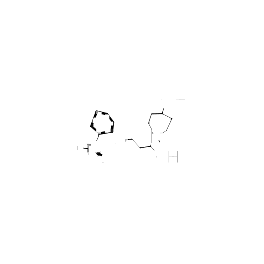 CC(CCOc1ccccc1[N+](=O)[O-])N1CCC(O)CC1